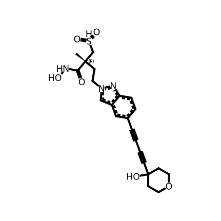 C[C@](CCn1cc2cc(C#CC#CC3(O)CCOCC3)ccc2n1)(C[SH](=O)=O)C(=O)NO